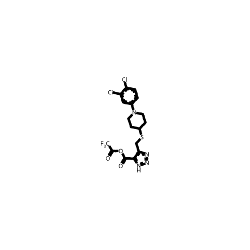 O=C(OC(=O)C(F)(F)F)c1[nH]nnc1CSC1CCN(c2ccc(Cl)c(Cl)c2)CC1